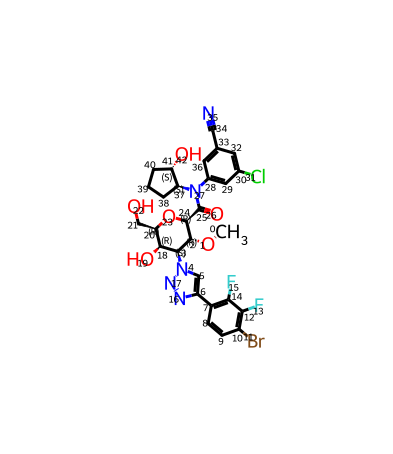 CO[C@@H]1[C@@H](n2cc(-c3ccc(Br)c(F)c3F)nn2)[C@@H](O)[C@@H](CO)O[C@H]1C(=O)N(c1cc(Cl)cc(C#N)c1)[C@H]1CCC[C@@H]1O